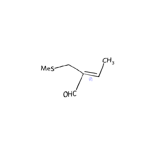 C/C=C(/C=O)CSC